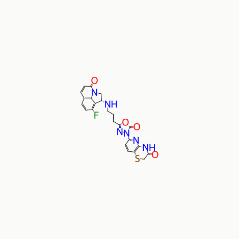 O=C1CSc2ccc(-n3nc(CCCN[C@H]4Cn5c(=O)ccc6ccc(F)c4c65)oc3=O)nc2N1